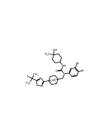 CC1(O)CCC(NC(=O)N(CC23CCC(c4noc(C(C)(C)F)n4)(CC2)CC3)c2ccc(F)c(Br)c2)CC1